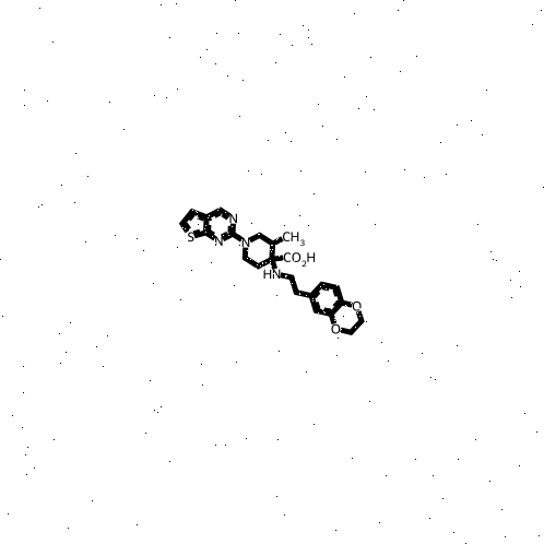 CC1CN(c2ncc3ccsc3n2)CCC1(NCCc1ccc2c(c1)OCCO2)C(=O)O